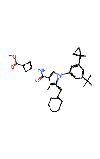 COC(=O)[C@H]1C[C@H](NC(=O)c2cn(-c3cc(C(C)(C)C)cc(C4(C)CC4)c3)c(CC3CCCCC3)c2C)C1